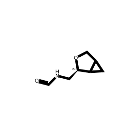 O=CNC[C@H]1OCC2CC21